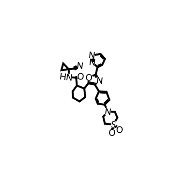 N#CC1(NC(=O)C2CCCCC2c2oc(-c3cccnn3)nc2-c2ccc(N3CCS(=O)(=O)CC3)cc2)CC1